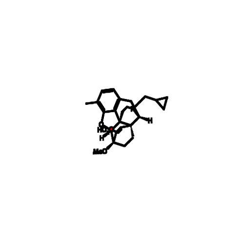 CO[C@]12CC[C@@]3(C=C1C(=O)O)[C@H]1Cc4ccc(C)c5c4[C@@]3(CCN1CC1CC1)[C@H]2O5